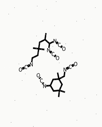 CC(CC(C)(C)CCN=C=O)C(N=C=O)N=C=O.CC1(C)CC(N=C=O)CC(C)(CN=C=O)C1